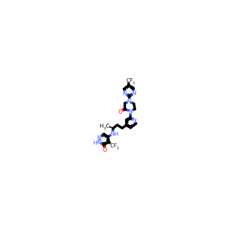 C[C@@H](CCc1ccnc(N2CCN(c3ncc(C(F)(F)F)cn3)CC2=O)c1)Nc1cn[nH]c(=O)c1C(F)(F)F